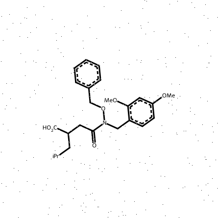 COc1ccc(CN(OCc2ccccc2)C(=O)CC(CC(C)C)C(=O)O)c(OC)c1